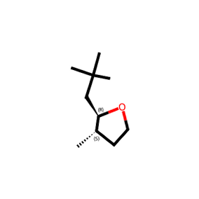 C[C@H]1CCO[C@@H]1CC(C)(C)C